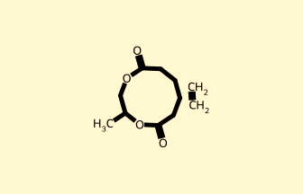 C=C.CC1COC(=O)CCCCC(=O)O1